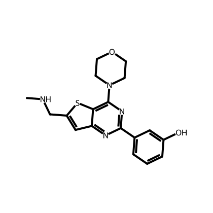 CNCc1cc2nc(-c3cccc(O)c3)nc(N3CCOCC3)c2s1